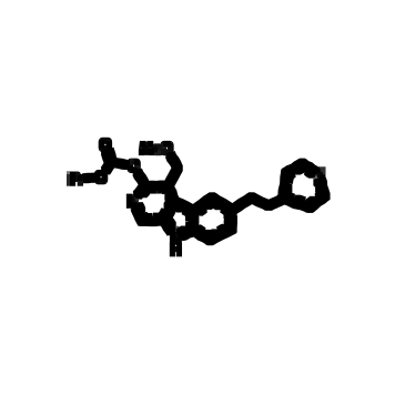 COCc1c(OC(=O)OC(C)C)ncc2[nH]c3ccc(CCc4ccncc4)cc3c12